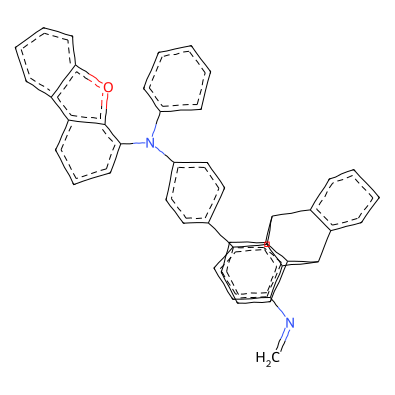 C=Nc1ccc(-c2ccc(N(c3ccccc3)c3cccc4c3oc3ccccc34)cc2)c2c1C1c3ccccc3C2c2ccccc21